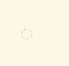 CS(=N)(=O)c1cccc(F)c1